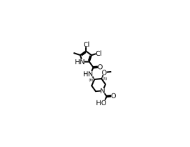 CO[C@H]1CN(C(=O)O)CC[C@H]1NC(=O)c1[nH]c(C)c(Cl)c1Cl